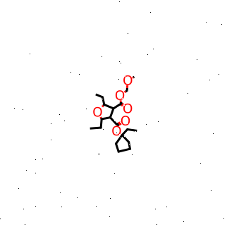 CCC1OC(CC)C(C(=O)OC2(CC)CCCC2)C1C(=O)OCOC